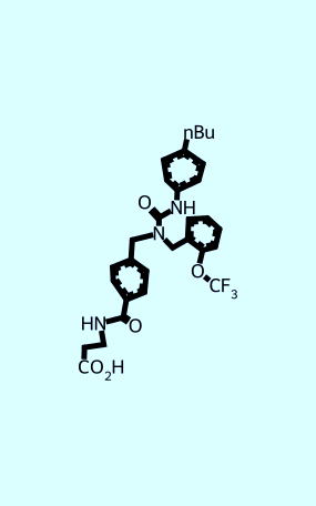 CCCCc1ccc(NC(=O)N(Cc2ccc(C(=O)NCCC(=O)O)cc2)Cc2ccccc2OC(F)(F)F)cc1